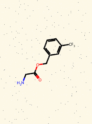 NCC(=O)OCc1cccc(C(F)(F)F)c1